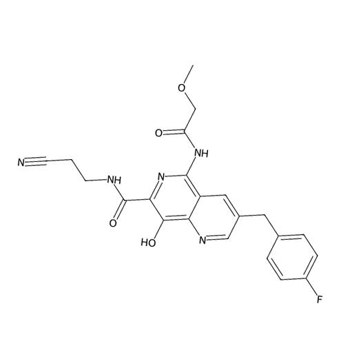 COCC(=O)Nc1nc(C(=O)NCCC#N)c(O)c2ncc(Cc3ccc(F)cc3)cc12